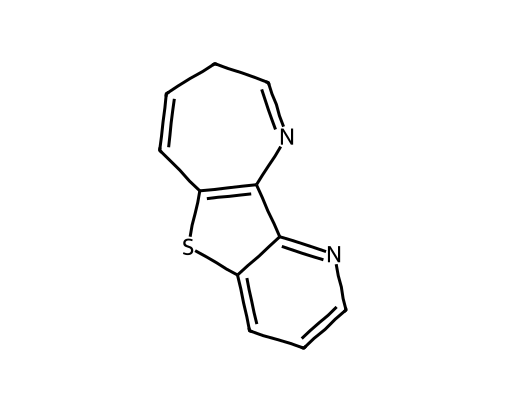 C1=Cc2sc3cccnc3c2N=CC1